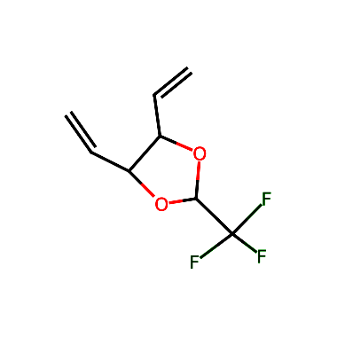 C=CC1OC(C(F)(F)F)OC1C=C